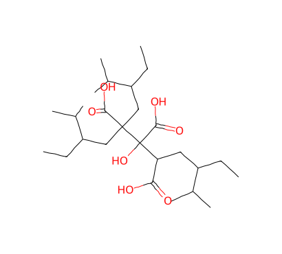 CCC(CC(C(=O)O)C(O)(C(=O)O)C(CC(CC)C(C)C)(CC(CC)C(C)C)C(=O)O)C(C)C